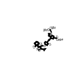 COC(=O)c1cc(C#Cc2ccc(OCc3c(-c4c(Cl)cccc4Cl)noc3C3CC3)cc2Cl)c2ccn(CC(OC)OC)c2c1